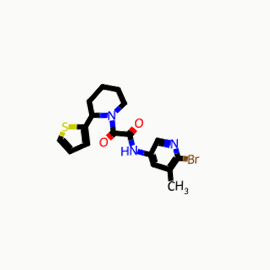 Cc1cc(NC(=O)C(=O)N2CCCCC2c2cccs2)cnc1Br